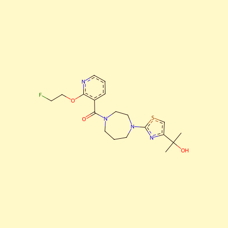 CC(C)(O)c1csc(N2CCCN(C(=O)c3cccnc3OCCF)CC2)n1